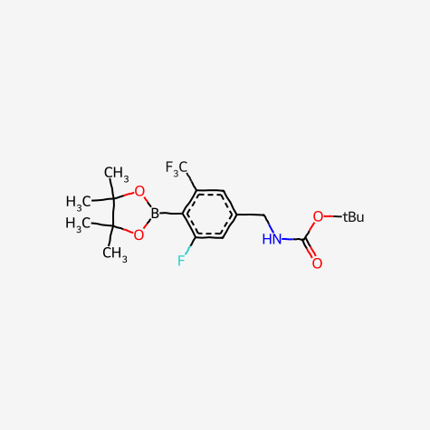 CC(C)(C)OC(=O)NCc1cc(F)c(B2OC(C)(C)C(C)(C)O2)c(C(F)(F)F)c1